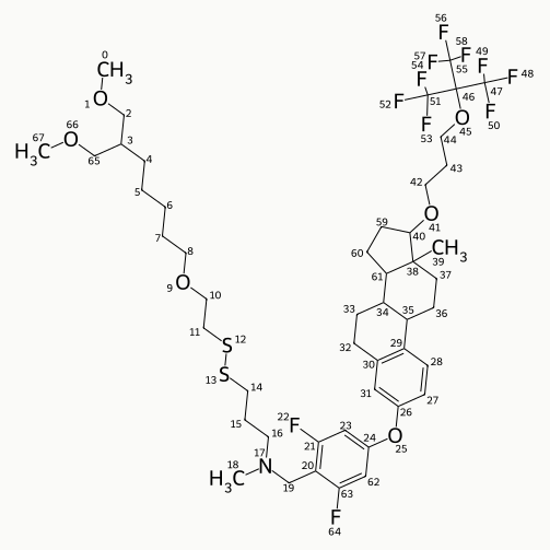 COCC(CCCCCOCCSSCCCN(C)Cc1c(F)cc(Oc2ccc3c(c2)CCC2C3CCC3(C)C(OCCCOC(C(F)(F)F)(C(F)(F)F)C(F)(F)F)CCC23)cc1F)COC